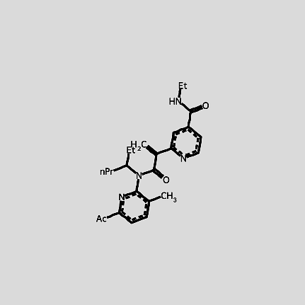 C=C(C(=O)N(c1nc(C(C)=O)ccc1C)C(CC)CCC)c1cc(C(=O)NCC)ccn1